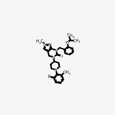 Cc1cccc(F)c1N1CCC(N2Cc3cn(C)nc3N(Cc3ccccc3OC(C)C)C2=O)CC1